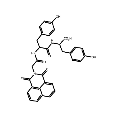 O=C(CN1C(=O)c2cccc3cccc(c23)C1=O)NC(Cc1ccc(O)cc1)C(=O)NC(Cc1ccc(O)cc1)C(=O)O